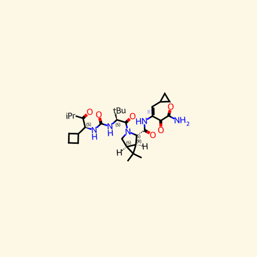 CC(C)C(=O)[C@@H](NC(=O)N[C@H](C(=O)N1C[C@H]2[C@@H]([C@H]1C(=O)N/C(=C/C1CC1)C(=O)C(N)=O)C2(C)C)C(C)(C)C)C1CCC1